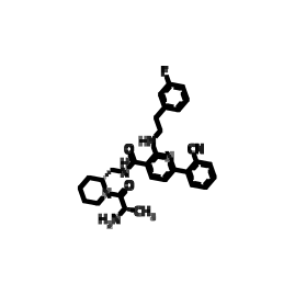 C[C@@H](N)C(=O)N1CCCC[C@@H]1CNC(=O)c1ccc(-c2ccccc2C#N)nc1NCCc1cccc(F)c1